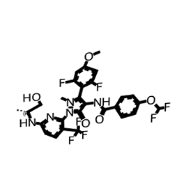 COc1cc(F)c(-c2c(NC(=O)c3ccc(OC(F)F)cc3)c(=O)n(-c3nc(N[C@H](C)CO)ccc3C(F)(F)F)n2C)c(F)c1